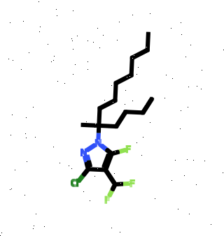 CCCCCCCC(C)(CCCC)n1nc(Cl)c(C(F)F)c1F